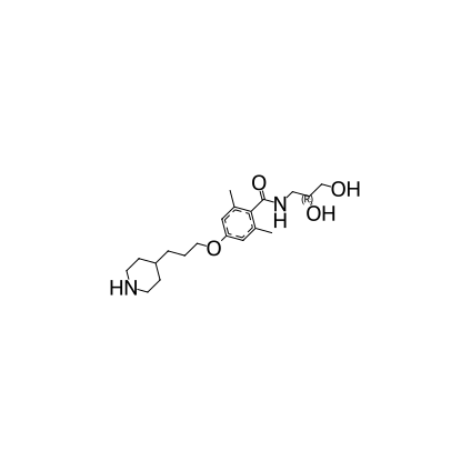 Cc1cc(OCCCC2CCNCC2)cc(C)c1C(=O)NC[C@@H](O)CO